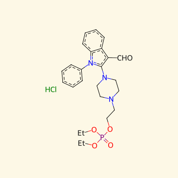 CCOP(=O)(OCC)OCCN1CCN(c2c(C=O)c3ccccc3n2-c2ccccc2)CC1.Cl